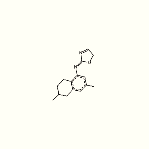 Cc1cc2c(c(N=C3N=CCO3)c1)CCC(C)C2